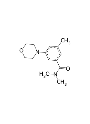 Cc1cc(C(=O)N(C)C)cc(N2CCOCC2)c1